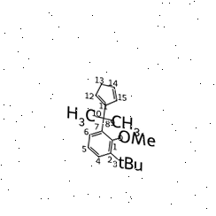 COc1c(C(C)(C)C)cccc1C(C)(C)C1=CCC=C1